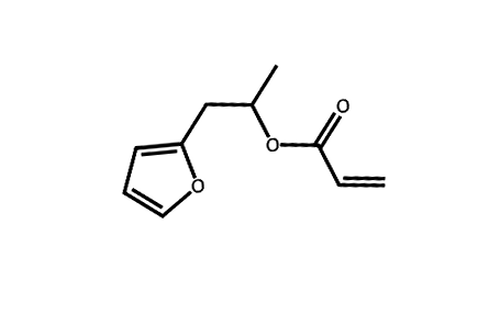 C=CC(=O)OC(C)Cc1ccco1